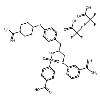 CC(=N)N1CCC(Oc2ccc(C[C@@H](COc3cccc(C(=N)N)c3)NS(=O)(=O)c3ccc(C(=O)O)cc3)cc2)CC1.O=C(O)C(F)(F)F.O=C(O)C(F)(F)F